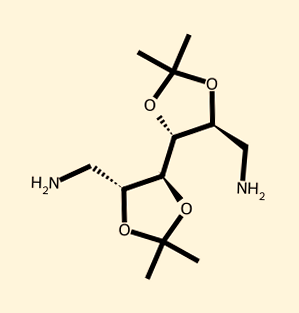 CC1(C)O[C@@H]([C@H]2OC(C)(C)O[C@@H]2CN)[C@H](CN)O1